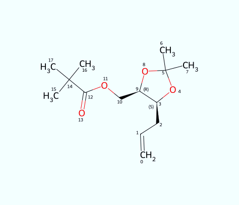 C=CC[C@@H]1OC(C)(C)O[C@@H]1COC(=O)C(C)(C)C